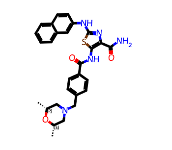 C[C@@H]1CN(Cc2ccc(C(=O)Nc3sc(Nc4ccc5ccccc5c4)nc3C(N)=O)cc2)C[C@H](C)O1